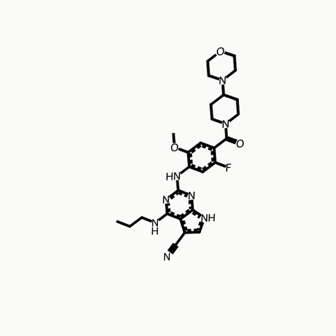 CCCNc1nc(Nc2cc(F)c(C(=O)N3CCC(N4CCOCC4)CC3)cc2OC)nc2[nH]cc(C#N)c12